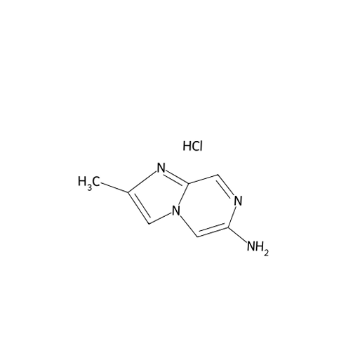 Cc1cn2cc(N)ncc2n1.Cl